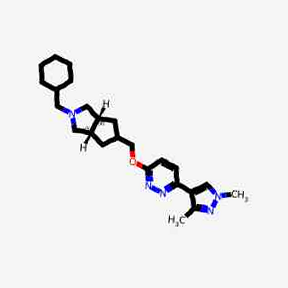 Cc1nn(C)cc1-c1ccc(OCC2C[C@@H]3CN(CC4CCCCC4)C[C@@H]3C2)nn1